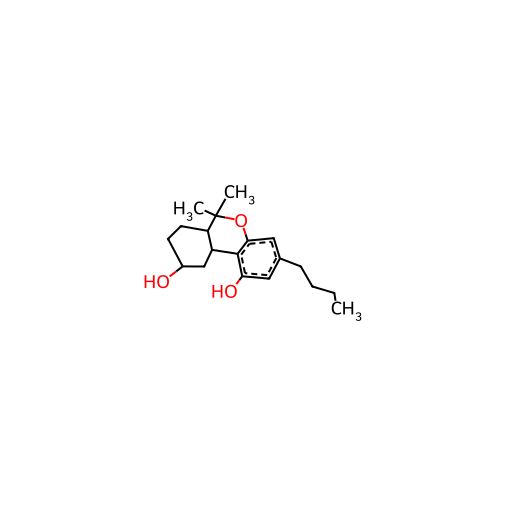 CCCCc1cc(O)c2c(c1)OC(C)(C)C1CCC(O)CC21